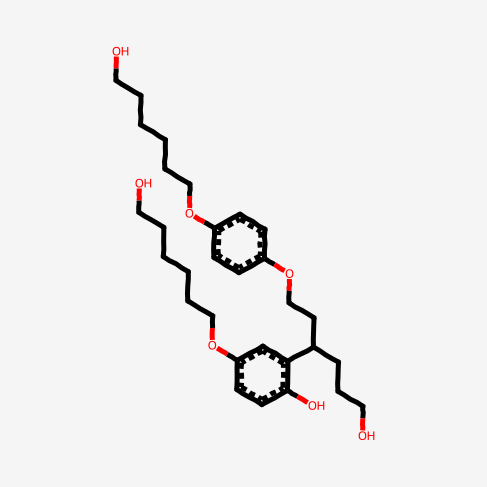 OCCCCCCOc1ccc(OCCC(CCCO)c2cc(OCCCCCCO)ccc2O)cc1